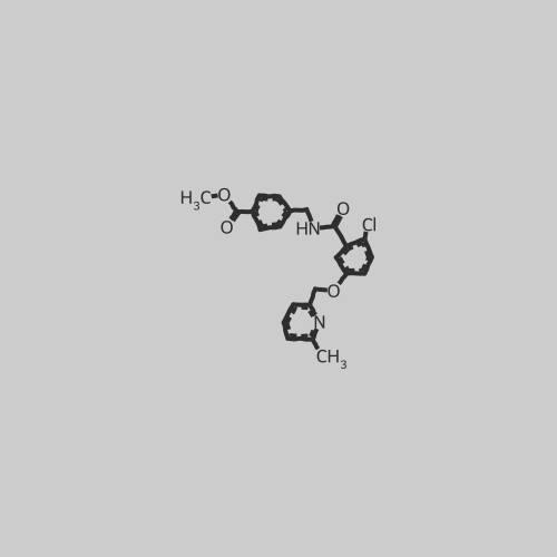 COC(=O)c1ccc(CNC(=O)c2cc(OCc3cccc(C)n3)ccc2Cl)cc1